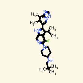 Cc1c(-c2[nH]c3cnc(N4CCC(NCC(C)(C)C)CC4)c(F)c3c2C(C)C)cn2ncnc2c1C